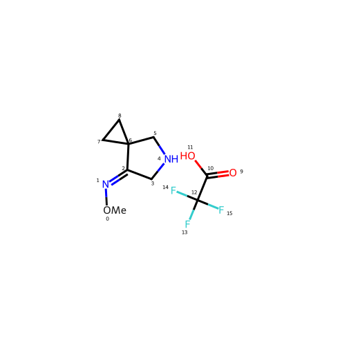 CON=C1CNCC12CC2.O=C(O)C(F)(F)F